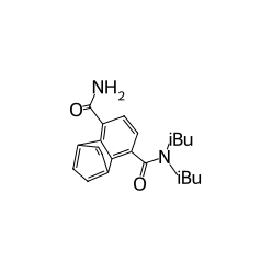 CCC(C)N(C(=O)c1ccc(C(N)=O)c2c3ccc(cc3)c12)C(C)CC